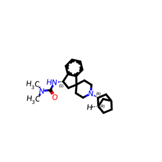 CN(C)C(=O)N[C@H]1CC2(CCN([C@@H]3CC4CC[C@@H]3C4)CC2)c2ccccc21